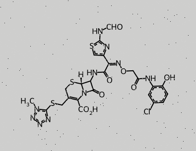 Cn1nnnc1SCC1=C(C(=O)O)N2C(=O)C(NC(=O)/C(=N\OCC(=O)Nc3cc(Cl)ccc3O)c3csc(NC=O)n3)[C@H]2SC1